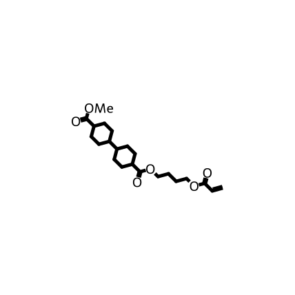 C=CC(=O)OCCCCOC(=O)C1CCC(C2CCC(C(=O)OC)CC2)CC1